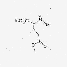 CCOC(=O)C(CCC(=O)OI)NC(C)(C)C